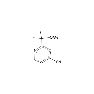 COC(C)(C)c1cc(C#N)ccn1